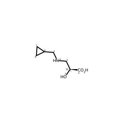 O=C(O)[C@@H](O)CNCC1CC1